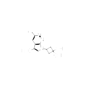 Cc1cn(C2CC(C)(O)C2)c2nnc(Cl)cc12